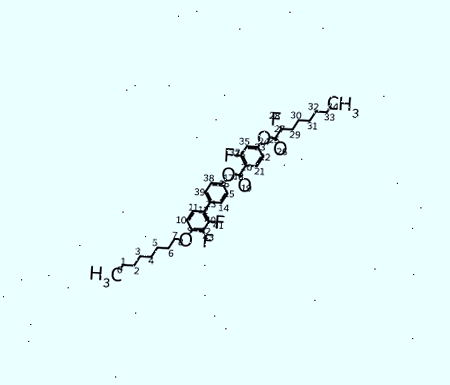 CCCCCCCCOc1ccc(-c2ccc(OC(=O)c3ccc(OC(=O)C(F)CCCCCC)cc3F)cc2)c(F)c1F